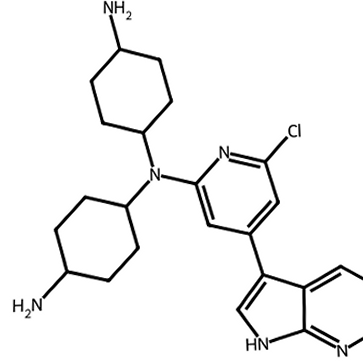 NC1CCC(N(c2cc(-c3c[nH]c4ncccc34)cc(Cl)n2)C2CCC(N)CC2)CC1